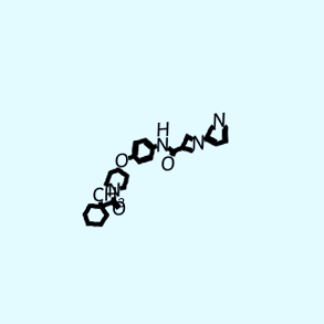 CC1(C(=O)N2CCC(Oc3ccc(NC(=O)C4CN(c5cccnc5)C4)cc3)CC2)CCCCC1